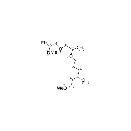 CCC(COCC(C)OCCCC(C)CCOC)NC